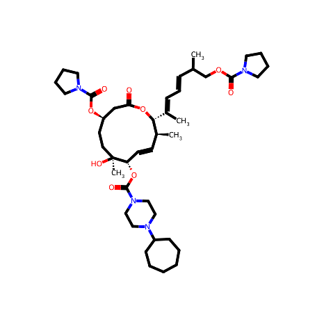 C/C(=C\C=C\C(C)COC(=O)N1CCCC1)[C@H]1OC(=O)C[C@H](OC(=O)N2CCCC2)CC[C@](C)(O)[C@@H](OC(=O)N2CCN(C3CCCCCC3)CC2)/C=C/[C@@H]1C